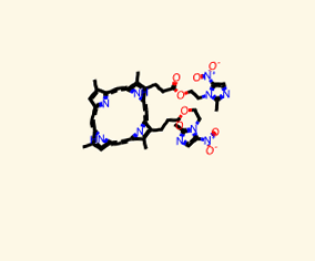 CC1=Cc2cc3[nH]c(cc4nc(cc5[nH]c(cc1n2)c(C)c5CCC(=O)OCCn1c([N+](=O)[O-])cnc1C)C(CCC(=O)OCCn1c([N+](=O)[O-])cnc1C)=C4C)cc3C